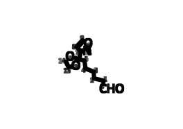 O=CCCCCCC1(c2ccon2)OCCO1